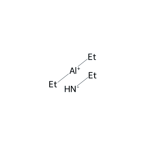 CC[NH-].C[CH2][Al+][CH2]C